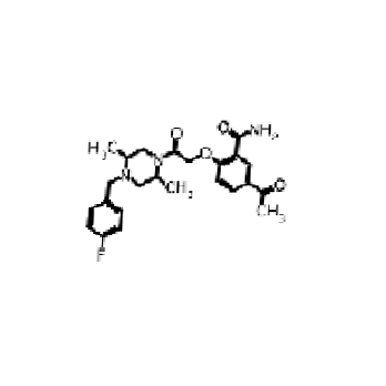 CC(=O)c1ccc(OCC(=O)N2CC(C)N(Cc3ccc(F)cc3)CC2C)c(C(N)=O)c1